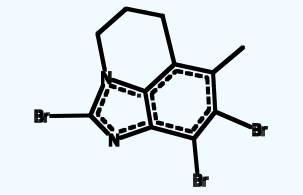 Cc1c(Br)c(Br)c2nc(Br)n3c2c1CCC3